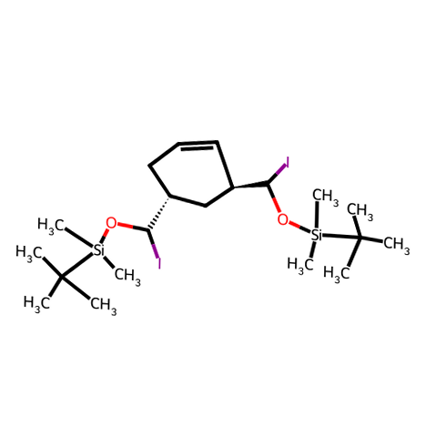 CC(C)(C)[Si](C)(C)OC(I)[C@@H]1CC=C[C@@H](C(I)O[Si](C)(C)C(C)(C)C)C1